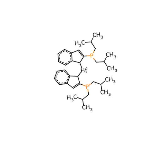 CC(C)CP(CC(C)C)C1=Cc2ccccc2[CH]1[Hf][CH]1C(P(CC(C)C)CC(C)C)=Cc2ccccc21